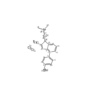 CCC1=Cc2c(-c3ccc(C(C)(C)C)cc3)cccc2[CH]1[Zr+2][Si](C)C.[Cl-].[Cl-]